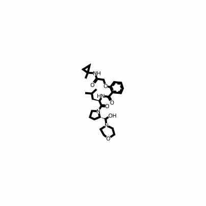 CC(C)C[C@@H](NC(=O)c1ccccc1OCC(=O)NC1(C)CC1)C(=O)N1CCC[C@H]1C(O)N1CCOCC1